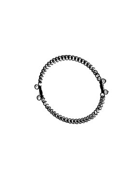 O=C1C=CC(=O)CCCCCCCCCCCCCCCCCCCCCCCOOOC(=O)C=CC(=O)OCCCCCCCCCCCCCCCCCCCCCCCCC1